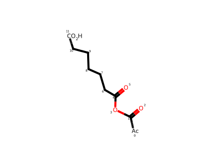 CC(=O)C(=O)OC(=O)CCCCCC(=O)O